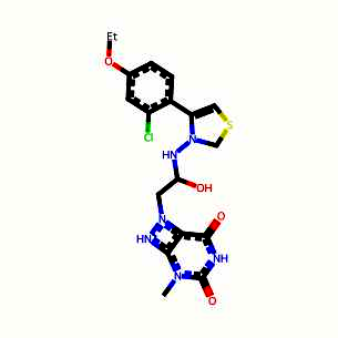 CCOc1ccc(C2=CSCN2NC(O)Cn2[nH]c3c2c(=O)[nH]c(=O)n3C)c(Cl)c1